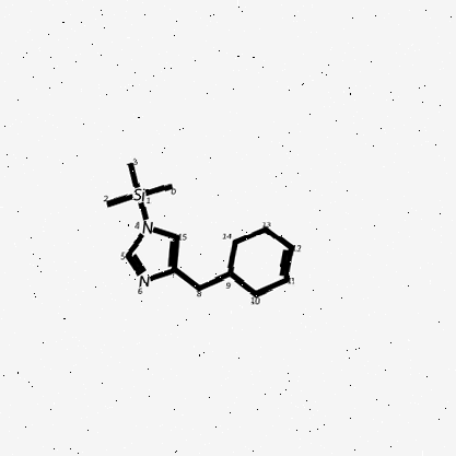 C[Si](C)(C)n1cnc(CC2CC=CCC2)c1